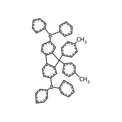 Cc1ccc(C2(c3ccc(C)cc3)c3cc(B(c4ccccc4)c4ccccc4)ccc3-c3ccc(B(c4ccccc4)c4ccccc4)cc32)cc1